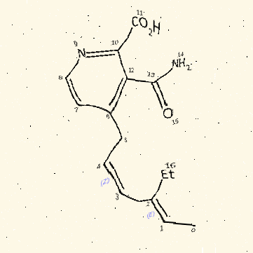 C/C=C(/C=C\Cc1ccnc(C(=O)O)c1C(N)=O)CC